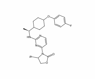 CC(C)C1COC(=O)N1c1ccnc(N[C@@H](C)C2CCC(Oc3ccc(F)cc3)CC2)n1